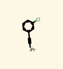 C[C](C)C#Cc1cccc(Cl)c1